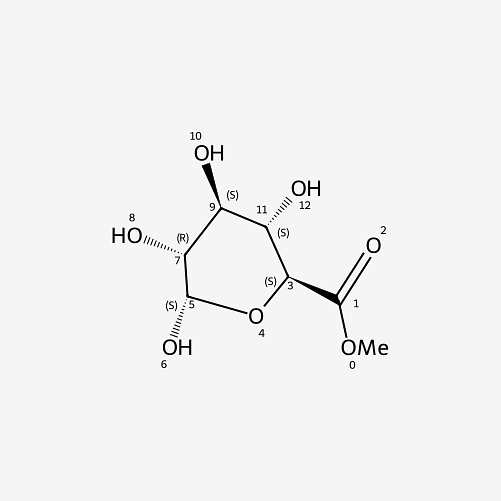 COC(=O)[C@H]1O[C@H](O)[C@H](O)[C@@H](O)[C@@H]1O